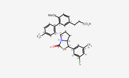 COc1ccc(CCC(=O)O)cc1-c1ccc(C(F)(F)F)cc1[C@@H]1CCC2C(c3cc(F)cc(C(F)(F)F)c3)SC(=O)N21